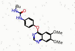 CCC(C)NC(=O)Nc1ccc(Oc2ncnc3cc(OC)c(OC)cc23)cc1